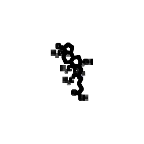 CC/C(=C\CCC(=O)O)CC1[C@@H](O)CC2C(CC[C@]3(C)C(=O)CCC23)C1(C)C